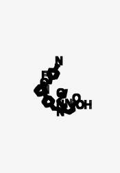 N#Cc1ccc(COc2cccc(C3=CCC(Cc4nc5ccc(C(=O)O)nc5n4C[C@@H]4CCO4)CC3)n2)c(F)c1